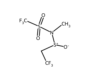 CN([S+]([O-])CC(F)(F)F)S(=O)(=O)C(F)(F)F